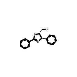 BrC[C@H]1SC(c2ccccc2)=N[C@@H]1c1ccccc1